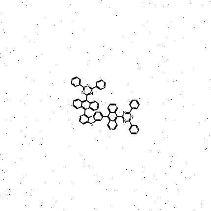 c1ccc(-c2nc(-c3ccccc3)nc(-c3c4ccccc4c(-c4ccc5c(c4)sc4cccc(-c6c7ccccc7c(-c7nc(-c8ccccc8)nc(-c8ccccc8)n7)c7ccccc67)c45)c4ccccc34)n2)cc1